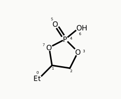 CCC1COP(=O)(O)O1